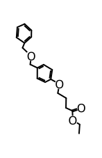 CCOC(=O)CCCOc1ccc(COCc2ccccc2)cc1